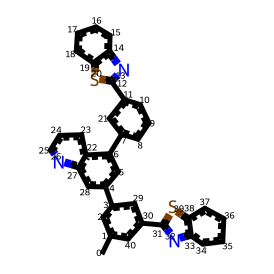 Cc1cc(-c2cc(-c3cccc(-c4nc5ccccc5s4)c3)c3cccnc3c2)cc(-c2nc3ccccc3s2)c1